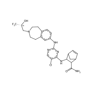 NC(=O)C1C2C=CC(C2)C1Nc1nc(Nc2ccc3c(c2)CCN(C[C@@H](O)C(F)(F)F)CC3)ncc1Cl